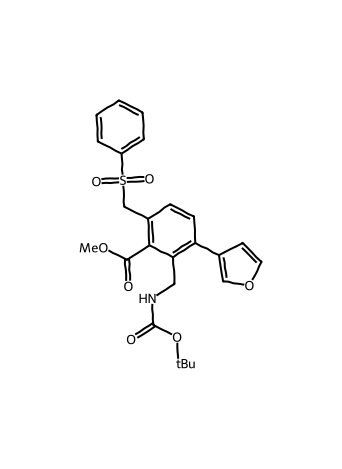 COC(=O)c1c(CS(=O)(=O)c2ccccc2)ccc(-c2ccoc2)c1CNC(=O)OC(C)(C)C